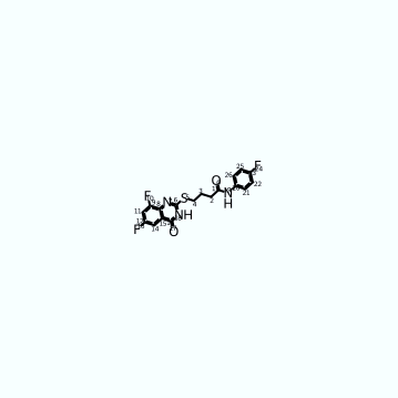 O=C(CCCSc1nc2c(F)cc(F)cc2c(=O)[nH]1)Nc1ccc(F)cc1